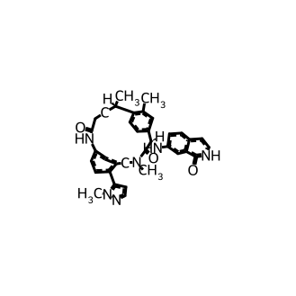 Cc1cc2ccc1[C@@H](C)CCC(=O)Nc1ccc(-c3ccnn3C)c(c1)CN(C)C(=O)[C@@H]2Nc1ccc2cc[nH]c(=O)c2c1